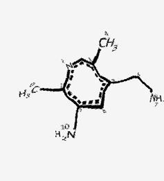 Cc1nc(C)c(CN)cc1N